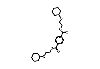 O=C(OCCOC1CCCCC1)c1ccc(C(=O)OCCOC2CCCCC2)cc1